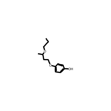 CCCOC(C)CCOc1ccc(O)cc1